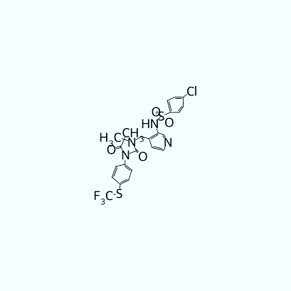 CC1(C)C(=O)N(c2ccc(SC(F)(F)F)cc2)C(=O)N1Cc1ccncc1NS(=O)(=O)c1ccc(Cl)cc1